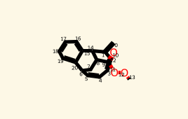 C=C1/C=C\C=C/C2CC(C(=O)OOC)C1c1ccccc12